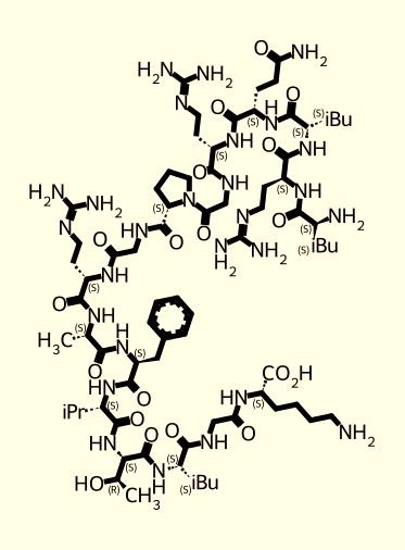 CC[C@H](C)[C@H](N)C(=O)N[C@@H](CCN=C(N)N)C(=O)N[C@H](C(=O)N[C@@H](CCC(N)=O)C(=O)N[C@@H](CCN=C(N)N)C(=O)NCC(=O)N1CCC[C@H]1C(=O)NCC(=O)N[C@@H](CCN=C(N)N)C(=O)N[C@@H](C)C(=O)N[C@@H](Cc1ccccc1)C(=O)N[C@H](C(=O)N[C@H](C(=O)N[C@H](C(=O)NCC(=O)N[C@@H](CCCCN)C(=O)O)[C@@H](C)CC)[C@@H](C)O)C(C)C)[C@@H](C)CC